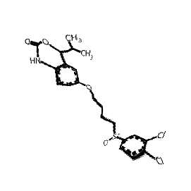 CC(C)C1OC(=O)Nc2ccc(OCCCC[S+]([O-])c3ccc(Cl)c(Cl)c3)cc21